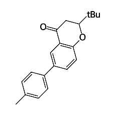 Cc1ccc(-c2ccc3c(c2)C(=O)CC(C(C)(C)C)O3)cc1